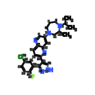 CC(C)N1CCCN(c2cnc3ccc(-c4c[nH]nc4-c4cc(Cl)ccc4F)nc3c2)CC1C